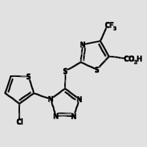 O=C(O)c1sc(Sc2nnnn2-c2sccc2Cl)nc1C(F)(F)F